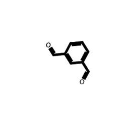 O=Cc1cccc(C=O)c1